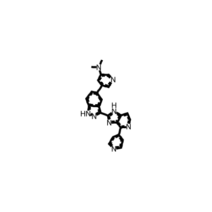 CN(C)c1cncc(-c2ccc3[nH]nc(-c4nc5c(-c6ccncc6)nccc5[nH]4)c3c2)c1